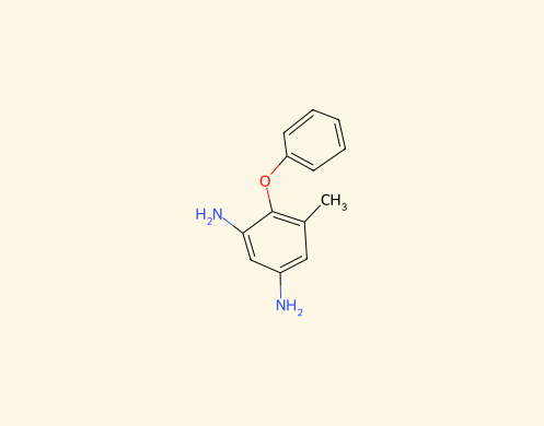 Cc1cc(N)cc(N)c1Oc1ccccc1